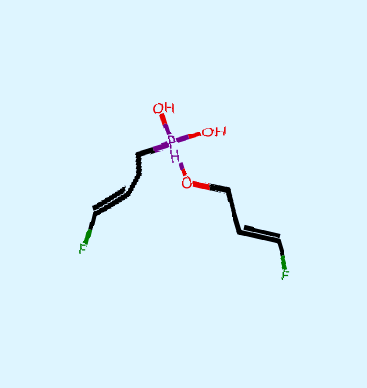 O[PH](O)(CC=CF)OCC=CF